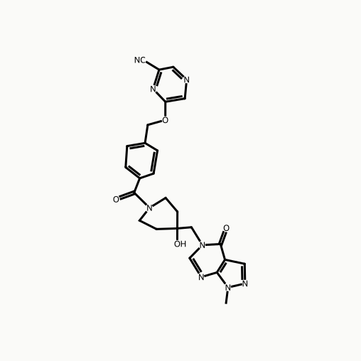 Cn1ncc2c(=O)n(CC3(O)CCN(C(=O)c4ccc(COc5cncc(C#N)n5)cc4)CC3)cnc21